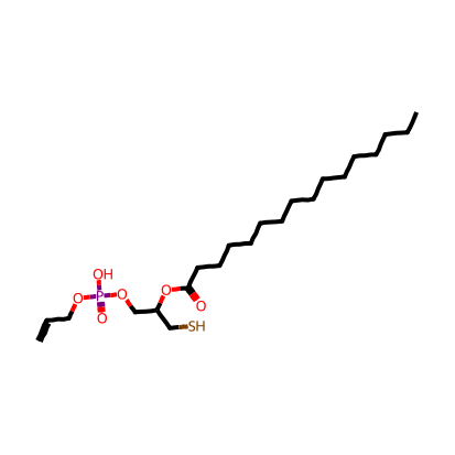 C=CCOP(=O)(O)OCC(CS)OC(=O)CCCCCCCCCCCCCCC